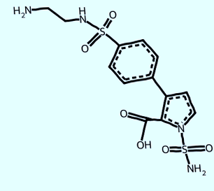 NCCNS(=O)(=O)c1ccc(-c2ccn(S(N)(=O)=O)c2C(=O)O)cc1